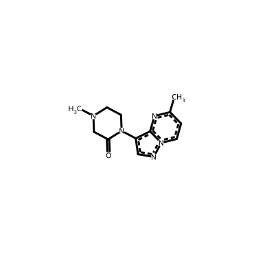 Cc1ccn2ncc(N3CCN(C)CC3=O)c2n1